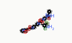 Nc1c(Cl)cc(C[C@@H](OC(=O)N2CCC(n3nc(-c4ccccc4)[nH]c3=O)CC2)C(=O)N2CCC(C3CCN(CC(=O)OCC(=O)CN4CCCCC4=O)CC3)CC2)cc1C(F)(F)F